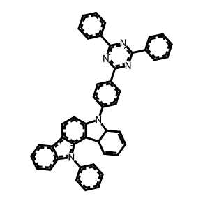 C1=CC2c3c(ccc4c5ccccc5n(-c5ccccc5)c34)N(c3ccc(-c4nc(-c5ccccc5)nc(-c5ccccc5)n4)cc3)C2C=C1